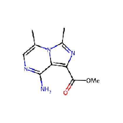 COC(=O)c1nc(C)n2c(C)cnc(N)c12